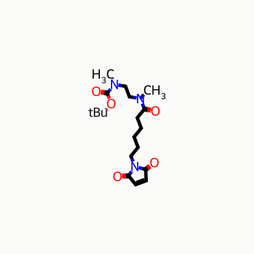 CN(CCN(C)C(=O)OC(C)(C)C)C(=O)CCCCCN1C(=O)C=CC1=O